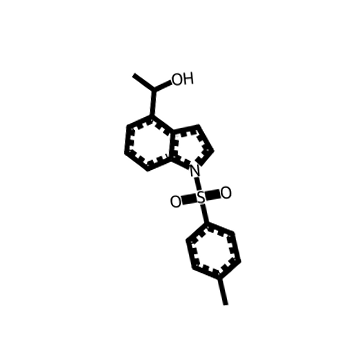 Cc1ccc(S(=O)(=O)n2ccc3c(C(C)O)cccc32)cc1